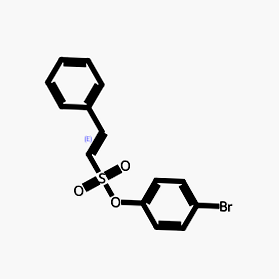 O=S(=O)(/C=C/c1ccccc1)Oc1ccc(Br)cc1